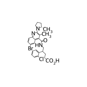 Cc1c(N2CCC[C@@H]2C)nc2ccc(Br)cc2c1C(=O)NCC(CCC(=O)O)c1ccccc1Cl